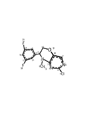 CN1c2nc(Cl)ncc2OCC1c1cc(F)cc(F)c1